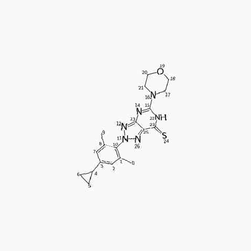 Cc1cc(C2CC2)cc(C)c1-n1nc2nc(N3CCOCC3)[nH]c(=S)c2n1